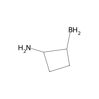 BC1CCC1N